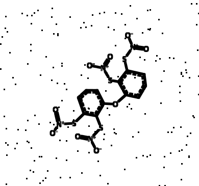 O=[N+]([O-])Sc1cccc(Oc2cccc(S[N+](=O)[O-])c2S[N+](=O)[O-])c1S[N+](=O)[O-]